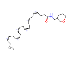 CC/C=C\C/C=C\C/C=C\C/C=C\C/C=C\C/C=C\CCC(=O)NCC1CCCOC1